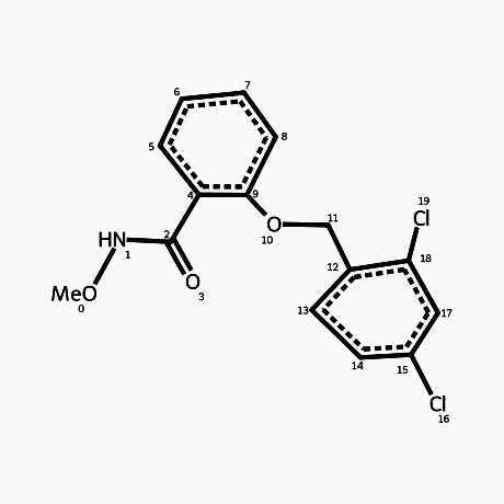 CONC(=O)c1ccccc1OCc1ccc(Cl)cc1Cl